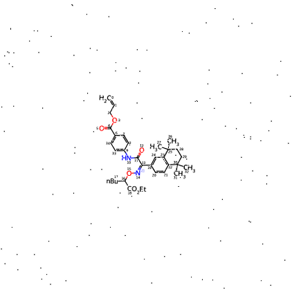 C=CCOC(=O)c1ccc(NC(=O)/C(=N\OC(CCCC)C(=O)OCC)c2ccc3c(c2)C(C)(C)CCC3(C)C)cc1